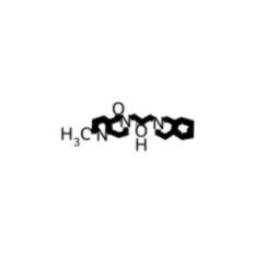 Cc1ccc2c(n1)CCN(C[C@H](O)CN1CCc3ccccc3C1)C2=O